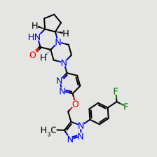 Cc1nnn(-c2ccc(C(F)F)cc2)c1COc1ccc(N2CCN3[C@@H](C2)C(=O)N[C@@H]2CCC[C@@H]23)nn1